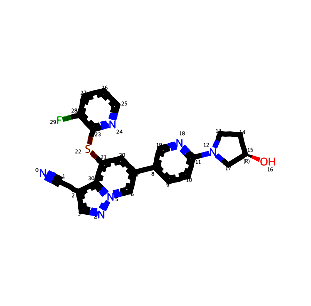 N#Cc1cnn2cc(-c3ccc(N4CC[C@@H](O)C4)nc3)cc(Sc3ncccc3F)c12